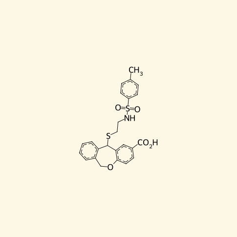 Cc1ccc(S(=O)(=O)NCCSC2c3ccccc3COc3ccc(C(=O)O)cc32)cc1